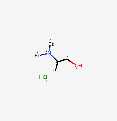 CCN(CC)C(C)CO.Cl